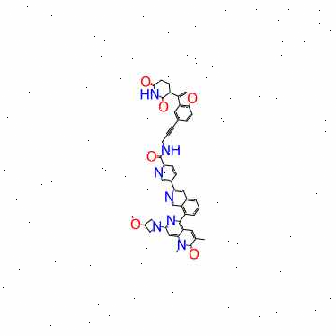 COC1CN(c2cc3c(cc(C)c(=O)n3C)c(-c3cccc4cc(-c5ccc(C(=O)NCC#Cc6ccc7occ(C8CCC(=O)NC8=O)c7c6)nc5)ncc34)n2)C1